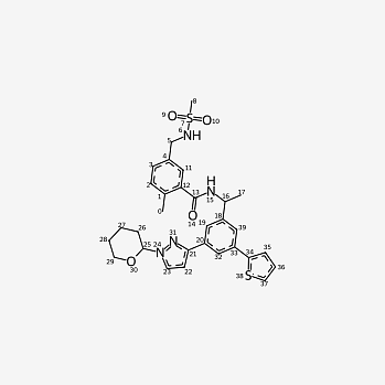 Cc1ccc(CNS(C)(=O)=O)cc1C(=O)NC(C)c1cc(-c2ccn(C3CCCCO3)n2)cc(-c2cccs2)c1